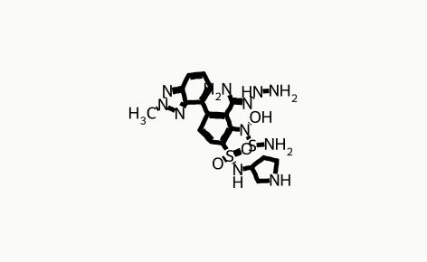 Cn1nc2cccc(-c3ccc(S(=O)(=O)NC4CCNC4)c(N(O)SN)c3/C(N)=N/NN)c2n1